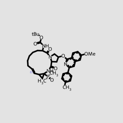 COc1ccc2c(OC3CC4C(=O)NC5(P(C)(C)=O)CC5/C=C/CCCCCC(NC(=O)OC(C)(C)C)C(=O)N4C3)nc(-c3ccc(C)cc3)cc2c1